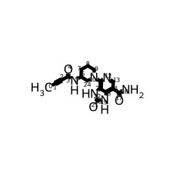 CC#CC(=O)NC1CCCN(c2ncc(C(N)=O)c3[nH]c(=O)[nH]c23)C1